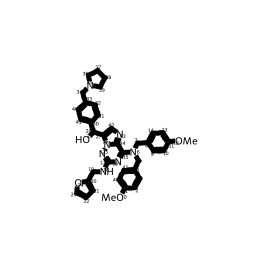 COc1ccc(CN(Cc2ccc(OC)cc2)c2nc(NCc3ccco3)nn3c(C(O)c4ccc(CN5CCCC5)cc4)cnc23)cc1